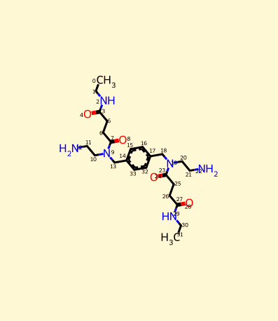 CCNC(=O)CCC(=O)N(CCN)Cc1ccc(CN(CCN)C(=O)CCC(=O)NCC)cc1